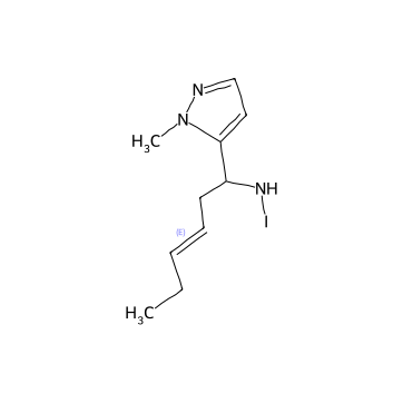 CC/C=C/CC(NI)c1ccnn1C